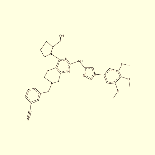 COc1cc(-n2cnc(Nc3nc4c(c(N5CCCC5CO)n3)CCN(Cc3cccc(C#N)c3)C4)c2)cc(OC)c1OC